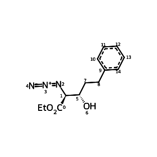 CCOC(=O)[C@@H](N=[N+]=[N-])[C@@H](O)CCc1ccccc1